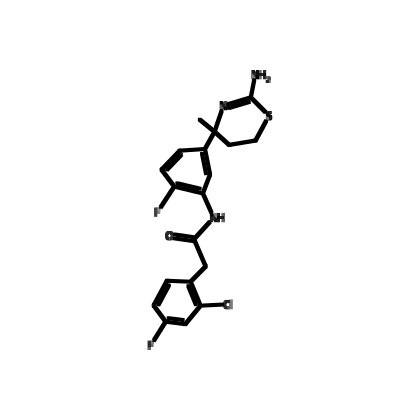 CC1(c2ccc(F)c(NC(=O)Cc3ccc(F)cc3Cl)c2)CCSC(N)=N1